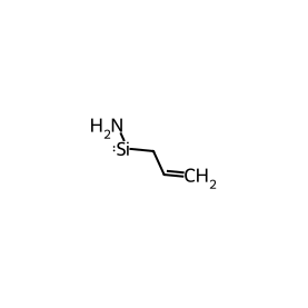 C=CC[Si]N